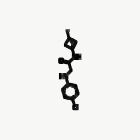 [CH2]C12CC(NC(=O)CNc3ccc(Cl)cc3)(C1)C2